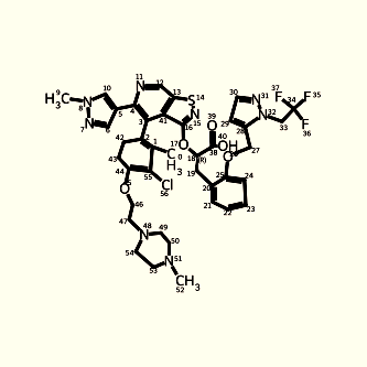 CC1=C(c2c(-c3cnn(C)c3)ncc3snc(O[C@H](Cc4ccccc4OCc4ccnn4CC(F)(F)F)C(=O)O)c23)CCC(OCCN2CCN(C)CC2)=C1Cl